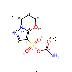 NC(=O)OS(=O)(=O)c1cnn2c1OCCC2